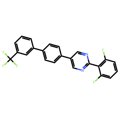 Fc1cccc(F)c1-c1ncc(-c2ccc(-c3cccc(C(F)(F)F)c3)cc2)cn1